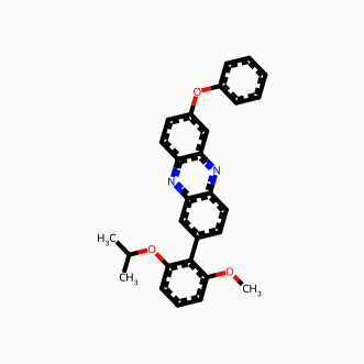 COc1cccc(OC(C)C)c1-c1ccc2nc3cc(Oc4ccccc4)ccc3nc2c1